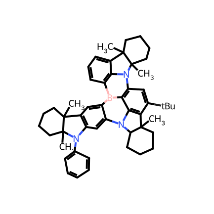 CC(C)(C)c1cc2c3c4c1C1(C)CCCCC1N4c1cc4c(cc1B3c1cccc3c1N2C1(C)CCCCC31C)C1(C)CCCCC1(C)N4c1ccccc1